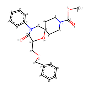 CC(C)(C)OC(=O)N1CCC2(CC1)CN(c1ccccc1)C(=O)C(COCc1ccccc1)O2